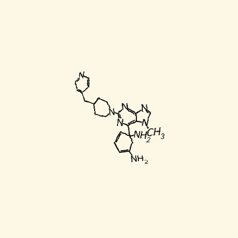 Cn1cnc2nc(N3CCC(Cc4ccncc4)CC3)nc(C3(N)C=CC=C(N)C3)c21